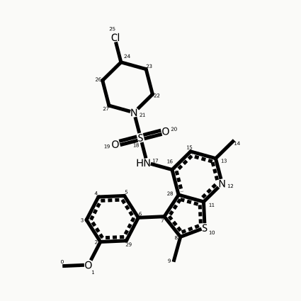 COc1cccc(-c2c(C)sc3nc(C)cc(NS(=O)(=O)N4CCC(Cl)CC4)c23)c1